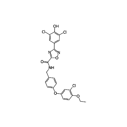 CCOc1ccc(Oc2ccc(CNC(=O)c3nc(-c4cc(Cl)c(O)c(Cl)c4)no3)cc2)cc1Cl